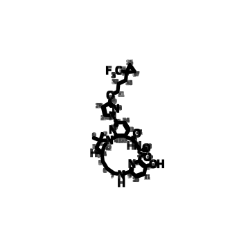 CC1(C)C[C@@H]2CCCNc3ccc(O)c(n3)S(=O)(=O)NC(=O)c3ccc(-n4ccc(OCCCC5(C(F)(F)F)CC5)n4)nc3N1C2